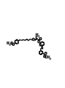 COC(=O)c1cccc(CSc2cccc(OC(=O)C(C)=COCCCCCCCCc3ccc(OC)cc3)n2)c1